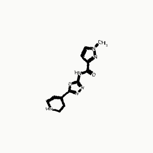 Cn1ccc(C(=O)Nc2nnc(C3CCNCC3)o2)n1